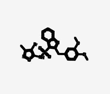 COc1ccc(Cc2sc3ccccc3c2S(=O)(=O)Nc2onc(C)c2Br)cc1OC